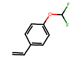 C=Cc1ccc(OC(F)F)cc1